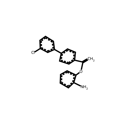 C=C(Oc1ccccc1N)c1ccc(-c2cccc(Cl)c2)cc1